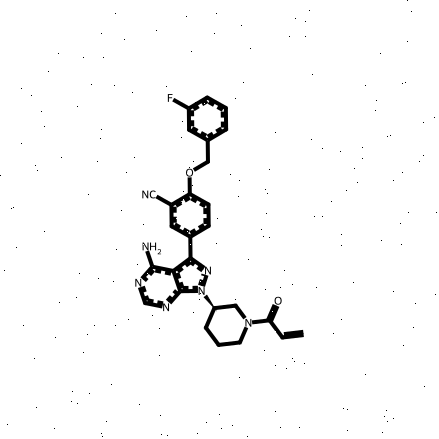 C=CC(=O)N1CCC[C@@H](n2nc(-c3ccc(OCc4cccc(F)c4)c(C#N)c3)c3c(N)ncnc32)C1